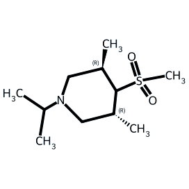 CC(C)N1C[C@@H](C)C(S(C)(=O)=O)[C@H](C)C1